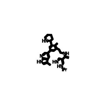 C=C(NCCc1cc(-c2cnc3[nH]cc(C)c3c2)cc(C2CCCCN2)c1C)/C(C=N)=C/NC(C)C